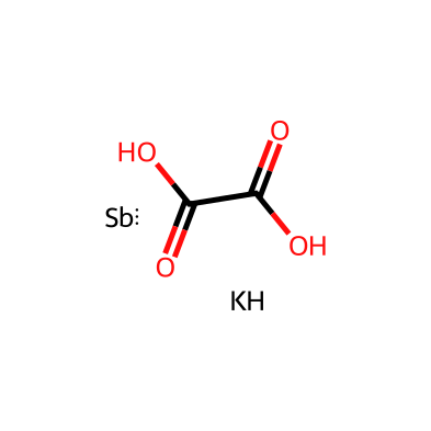 O=C(O)C(=O)O.[KH].[Sb]